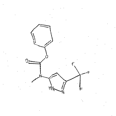 CN(C(=O)Oc1ccccc1)c1cc(C(F)(F)F)n[nH]1